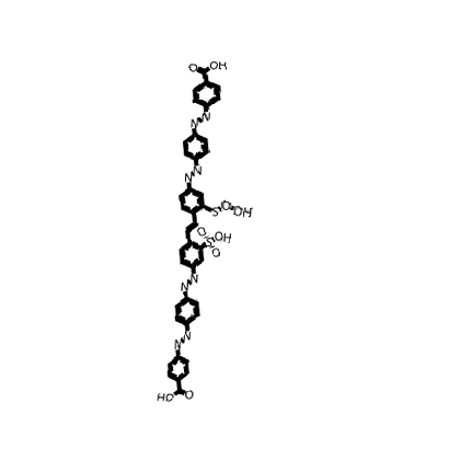 O=C(O)c1ccc(N=Nc2ccc(N=Nc3ccc(C=Cc4ccc(N=Nc5ccc(N=Nc6ccc(C(=O)O)cc6)cc5)cc4S(=O)(=O)O)c(SOO)c3)cc2)cc1